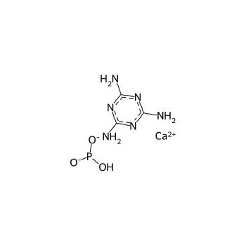 Nc1nc(N)nc(N)n1.[Ca+2].[O-]P([O-])O